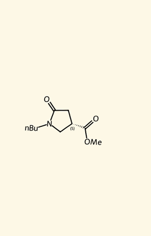 CCCCN1C[C@@H](C(=O)OC)CC1=O